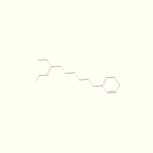 CCC(=CCO)CCCCCCc1cc[c]cc1